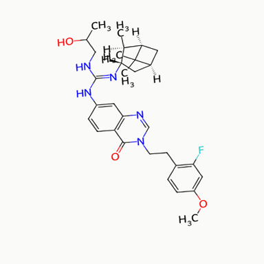 COc1ccc(CCn2cnc3cc(NC(=N[C@H]4C[C@@H]5C[C@H]([C@@H]4C)C5(C)C)NCC(C)O)ccc3c2=O)c(F)c1